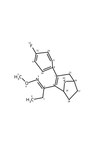 CCC(=NOC)C1=C(c2ccc(F)cc2)CC2CCC1S2